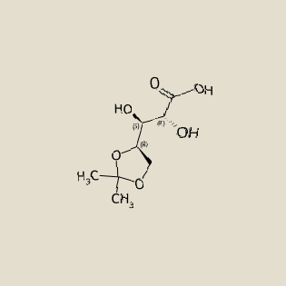 CC1(C)OC[C@H]([C@@H](O)[C@@H](O)C(=O)O)O1